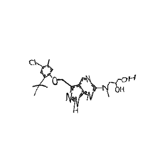 Cc1cc(OCc2n[nH]c3nc(N(C)CC(O)CO)ncc23)c(C(C)(C)C)cc1Cl